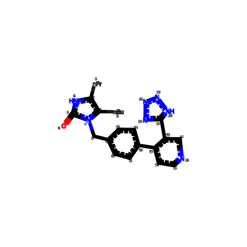 CCCCc1c(CCC)[nH]c(=O)n1Cc1ccc(-c2ccncc2-c2nnn[nH]2)cc1